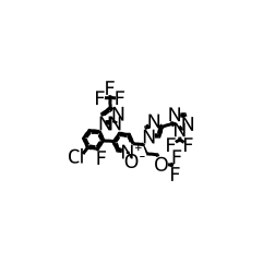 [O-][n+]1cc(-c2c(-n3cc(C(F)(F)F)nn3)ccc(Cl)c2F)ccc1[C@H](CCOC(F)F)n1cnc(-c2ncnn2C(F)F)c1